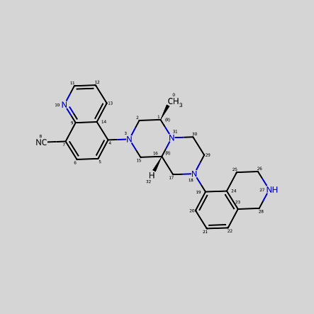 C[C@@H]1CN(c2ccc(C#N)c3ncccc23)C[C@H]2CN(c3cccc4c3CCNC4)CCN21